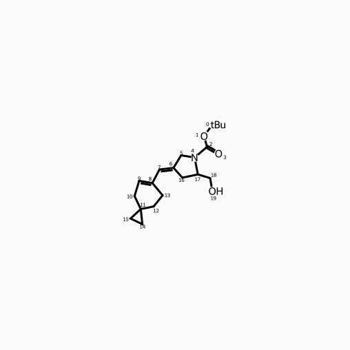 CC(C)(C)OC(=O)N1CC(=CC2=CCC3(CC2)CC3)CC1CO